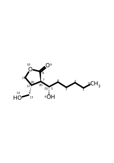 CCCCC[C@H](O)[C@@H]1C(=O)OC[C@H]1CO